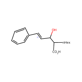 CCCCCCC(C(=O)O)C(O)/C=C/c1ccccc1